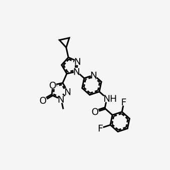 Cn1nc(-c2cc(C3CC3)nn2-c2ccc(NC(=O)c3c(F)cccc3F)cn2)oc1=O